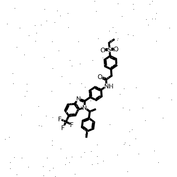 CCS(=O)(=O)c1ccc(CC(=O)Nc2ccc(-c3nc4ccc(C(F)(F)F)cc4n3C(C)c3ccc(C)cc3)cc2)cc1